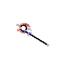 CCC=CCC=CCC=CCC=CCC=CCC=CCCC(=O)NCCCN1C[C@H](C)C[C@@](C)(O)[C@H](O)[C@@H](C)[C@H](O)[C@@H](C)C(=O)O[C@H](CC)[C@@](C)(O)[C@H](O)[C@H]1C